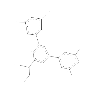 CC(C)CC(C(=O)O)c1cc(-c2cc(F)cc(F)c2)cc(-c2cc(C(F)(F)F)cc(C(F)(F)F)c2)c1